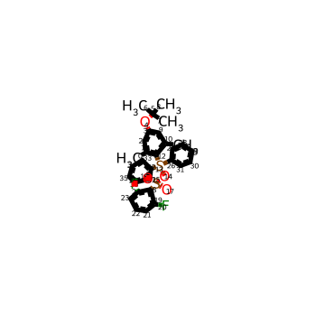 Cc1cc(OC(C)(C)C)cc(C)c1S(OS(=O)(=O)c1c(F)cccc1F)(c1ccccc1)c1ccccc1